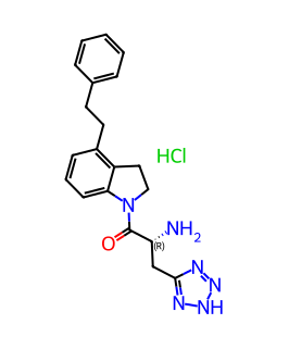 Cl.N[C@H](Cc1nn[nH]n1)C(=O)N1CCc2c(CCc3ccccc3)cccc21